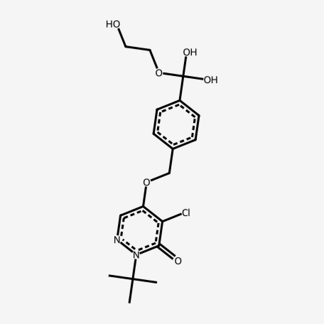 CC(C)(C)n1ncc(OCc2ccc(C(O)(O)OCCO)cc2)c(Cl)c1=O